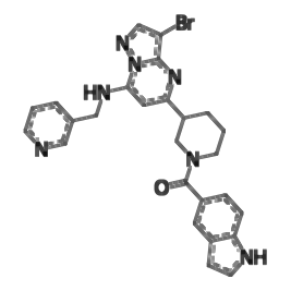 O=C(c1ccc2[nH]ccc2c1)N1CCCC(c2cc(NCc3cccnc3)n3ncc(Br)c3n2)C1